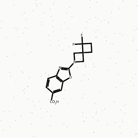 O=C(O)c1ccc2nc(N3CC4(CCC4(F)F)C3)oc2c1